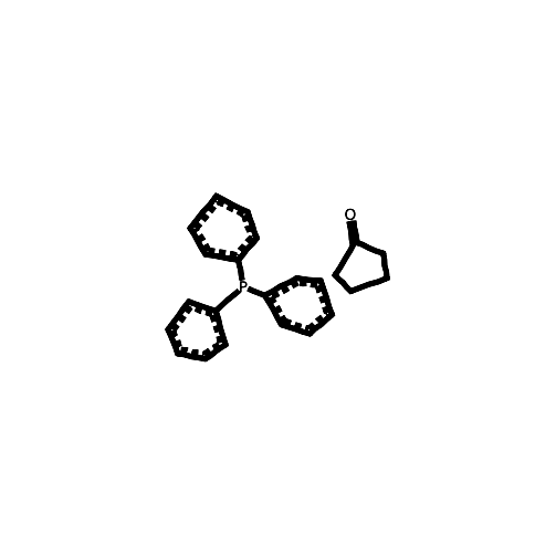 O=C1CCCC1.c1ccc(P(c2ccccc2)c2ccccc2)cc1